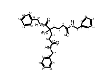 CC(C)C(CCCC(=O)NCc1ccccc1)(CCC(=O)NCc1ccccc1)C(=O)NCc1ccccc1